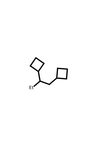 CCC(CC1CCC1)C1CCC1